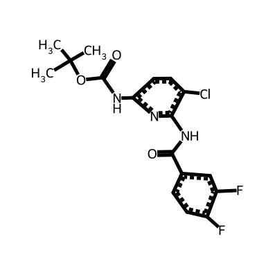 CC(C)(C)OC(=O)Nc1ccc(Cl)c(NC(=O)c2ccc(F)c(F)c2)n1